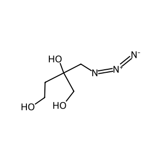 [N-]=[N+]=NCC(O)(CO)CCO